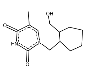 Cc1cn(CC2CCCCC2CO)c(=O)[nH]c1=O